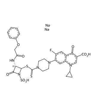 O=C(COc1ccccc1)N[C@H]1C(=O)N(S(=O)(=O)O)C1SC(=S)N1CCN(c2cc3c(cc2F)c(=O)c(C(=O)O)cn3C2CC2)CC1.[Na].[Na]